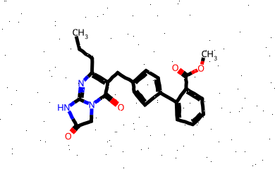 CCCc1nc2n(c(=O)c1Cc1ccc(-c3ccccc3C(=O)OC)cc1)CC(=O)N2